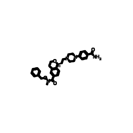 CN(OCc1ccccc1)C(=O)c1ccc2c(c1)CCO[C@H]2CCN1CCN(c2ccc(C(N)=O)cc2)CC1